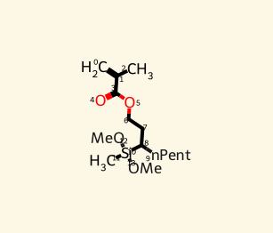 C=C(C)C(=O)OCCC(CCCCC)[Si](C)(OC)OC